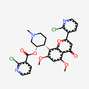 COc1cc(OC)c2c(=O)cc(-c3cccnc3Cl)oc2c1[C@H]1CCN(C)C[C@H]1OC(=O)c1cccnc1Cl